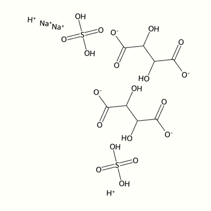 O=C([O-])C(O)C(O)C(=O)[O-].O=C([O-])C(O)C(O)C(=O)[O-].O=S(=O)(O)O.O=S(=O)(O)O.[H+].[H+].[Na+].[Na+]